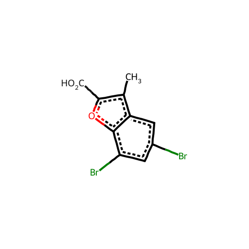 Cc1c(C(=O)O)oc2c(Br)cc(Br)cc12